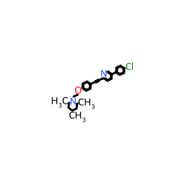 CC1CC(C)N(CCOc2ccc(C#Cc3ccc(-c4ccc(Cl)cc4)cn3)cc2)C(C)C1